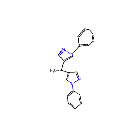 CC(c1cnn(-c2ccccc2)c1)c1cnn(-c2ccccc2)c1